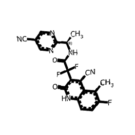 Cc1c(F)ccc2[nH]c(=O)c(C(F)(F)C(=O)N[C@H](C)c3ncc(C#N)cn3)c(C#N)c12